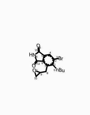 CCCCc1c(Br)cc2c(c1CC1CO1)C(=O)NC2=O